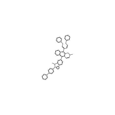 CC1C=Cc2c(c(C(/C=C\Cc3ccccc3)=C/Cc3ccccc3)c3ccccc3c2-c2ccc3c(c2)C(C)C(c2ccc(-c4ccccc4)cc2)O3)C1